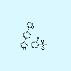 CS(=O)(=O)c1ccc(-n2nccc2-c2ccc(-c3ccco3)cc2)cc1F